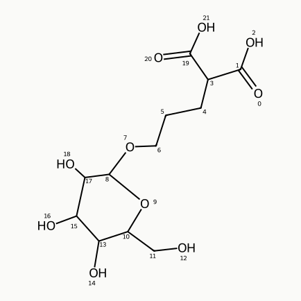 O=C(O)C(CCCOC1OC(CO)C(O)C(O)C1O)C(=O)O